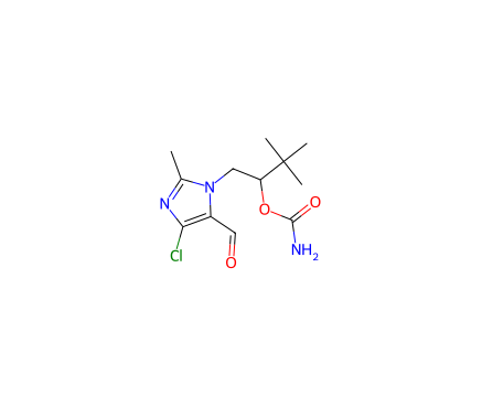 Cc1nc(Cl)c(C=O)n1CC(OC(N)=O)C(C)(C)C